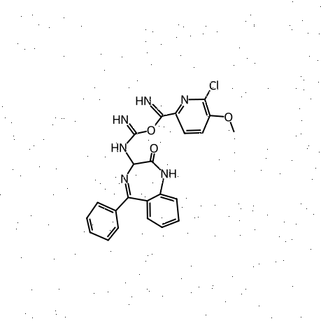 COc1ccc(C(=N)OC(=N)NC2N=C(c3ccccc3)c3ccccc3NC2=O)nc1Cl